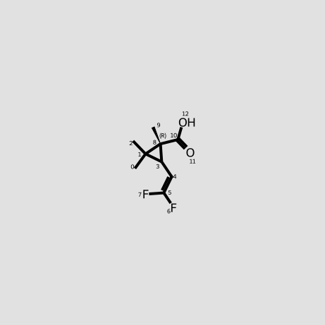 CC1(C)C(C=C(F)F)[C@@]1(C)C(=O)O